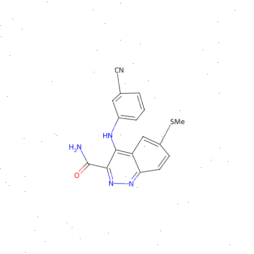 CSc1ccc2nnc(C(N)=O)c(Nc3cccc(C#N)c3)c2c1